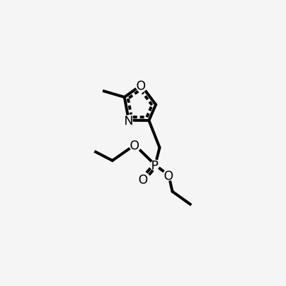 CCOP(=O)(Cc1coc(C)n1)OCC